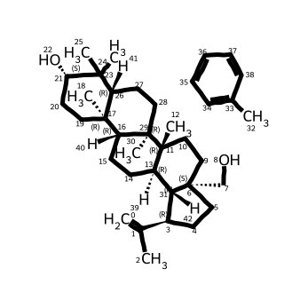 C=C(C)[C@@H]1CC[C@]2(CO)CC[C@]3(C)[C@H](CC[C@@H]4[C@@]5(C)CC[C@H](O)C(C)(C)[C@@H]5CC[C@]43C)[C@@H]12.Cc1ccccc1